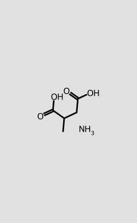 CC(CC(=O)O)C(=O)O.N